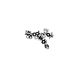 Cc1nc(N2CCOCC2)ccc1-c1nc2n(CC(=O)Nc3ccc(C(F)(F)F)cc3F)c3c(c(=O)n2n1)C1(CCN(C(=O)c2ncnc(C)c2O)CC1)CC3C